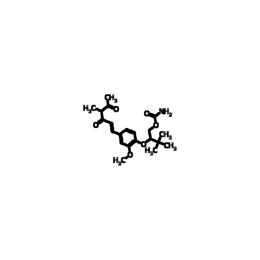 COc1cc(C=CC(=O)C(C)C(C)=O)ccc1OC(COC(N)=O)C(C)(C)C